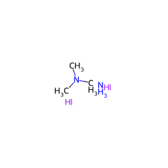 CN(C)C.I.I.N